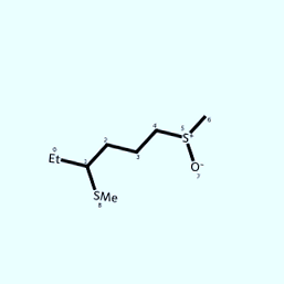 [CH2]CC(CCC[S+](C)[O-])SC